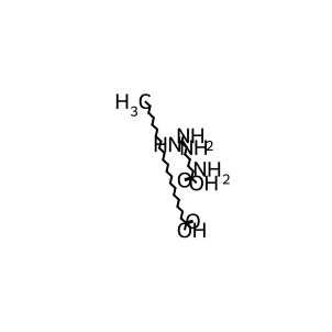 CCCCCCCCCCCCCCCCCCCCCC(=O)O.N=C(N)NCCCC(N)C(=O)O